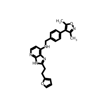 Cc1noc(C)c1-c1ccc(CNc2ccnc3[nH]c(CCc4ccco4)nc23)cc1